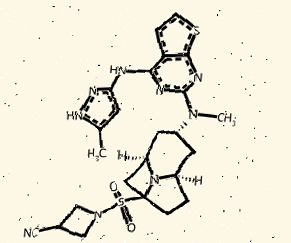 Cc1cc(Nc2nc(N(C)[C@@H]3C[C@H]4CCC5(S(=O)(=O)N6CC(C#N)C6)C[C@@H](C3)N45)nc3sccc23)n[nH]1